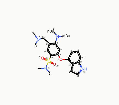 CCCCN(CCCC)c1cc(Oc2cccc3[nH]ccc23)c(S(=O)(=O)N(C)C)cc1CN(C)C